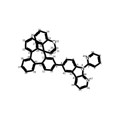 c1ccc(-n2c3ccc(-c4ccc5c(c4)C4(c6ccccc6Oc6ccccc64)c4ccccc4-c4ccccc4-5)cc3c3cccnc32)nc1